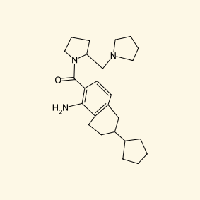 Nc1c(C(=O)N2CCCC2CN2CCCC2)ccc2c1CCC(C1CCCC1)C2